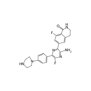 Nc1nc(F)c(-c2ccc(N3CCNCC3)cc2)nc1-c1cc(F)c2c(c1)CCNC2=O